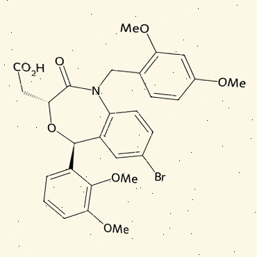 COc1ccc(CN2C(=O)[C@@H](CC(=O)O)O[C@H](c3cccc(OC)c3OC)c3cc(Br)ccc32)c(OC)c1